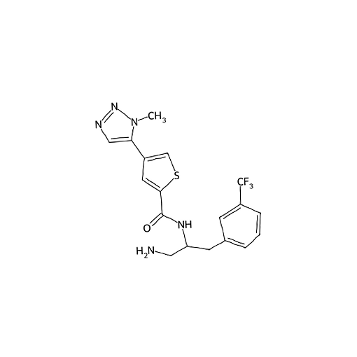 Cn1nncc1-c1csc(C(=O)NC(CN)Cc2cccc(C(F)(F)F)c2)c1